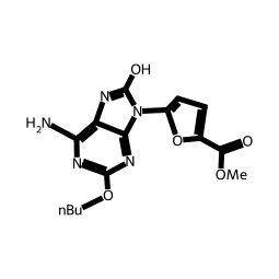 CCCCOc1nc(N)c2nc(O)n(-c3ccc(C(=O)OC)o3)c2n1